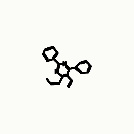 C=Cc1c(/C=C\C)nc(-c2ccccc2)nc1-c1ccccc1